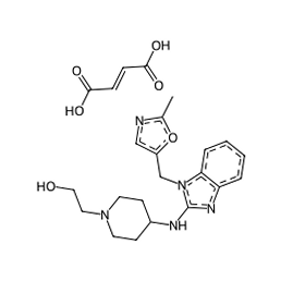 Cc1ncc(Cn2c(NC3CCN(CCO)CC3)nc3ccccc32)o1.O=C(O)C=CC(=O)O